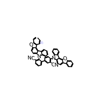 C=Cc1oc2ccc3c(c4ccccc4n3-c3c(C#N)cccc3-c3ccc(-n4c5ccccc5c5c6oc7ccccc7c6ccc54)c(C#N)c3)c2c1/C=C\C